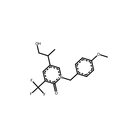 COc1ccc(Cn2cc(C(C)CO)cc(C(F)(F)F)c2=O)cc1